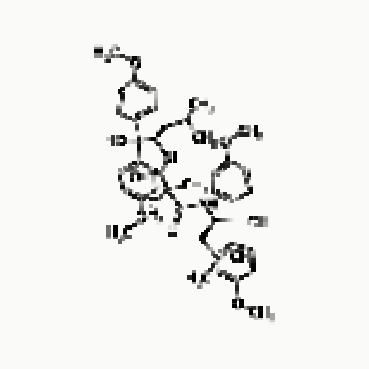 COc1ccc(C(O)(c2ccc(OC)cc2)[C@@H](CC(C)C)NC(=O)C(C)(C)C(=O)N[C@H](CC(C)C)C(O)(c2ccc(OC)cc2)c2ccc(OC)cc2)cc1